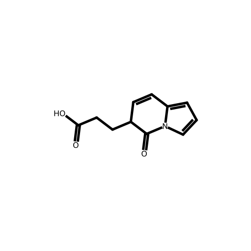 O=C(O)CCC1C=Cc2cccn2C1=O